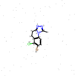 Cc1nnc2n1-c1ccc(Br)c(Cl)c1CC2